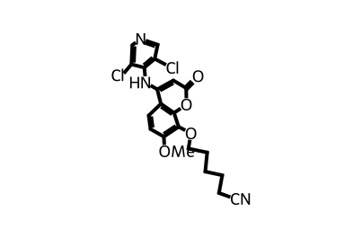 COc1ccc2c(Nc3c(Cl)cncc3Cl)cc(=O)oc2c1OCCCCCC#N